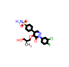 C[C@@H](CO)COc1c(-c2ccc(S(N)(=O)=O)cc2)cnn(-c2ccc(F)c(Cl)c2)c1=O